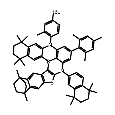 Cc1cc(C)c(-c2cc3c4c(c2)N(c2ccc5c(c2)C(C)(C)CCC5(C)C)c2sc5cc6c(cc5c2B4c2cc4c(cc2N3c2ccc(C(C)(C)C)cc2C)C(C)(C)CCC4(C)C)C2(C)CCC6(C)CC2)c(C)c1